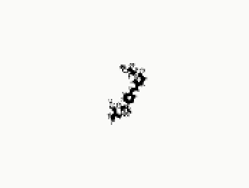 NCC(Cn1nnn(-c2ccc(CCc3ccc(=O)n(C(F)(F)C(=O)OF)c3)cc2)c1=O)=C(F)F